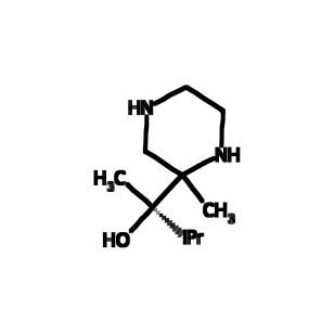 CC(C)[C@@](C)(O)C1(C)CNCCN1